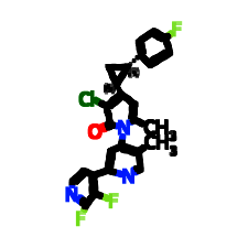 Cc1cnc(-c2ccnc(F)c2F)cc1-n1c(C)cc([C@H]2C[C@@H]2c2ccc(F)cc2)c(Cl)c1=O